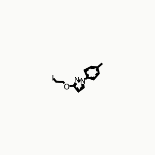 Cc1ccc(-n2ccc(OCCI)n2)cc1